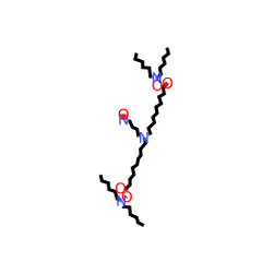 CCCCCCN(CCCCCC)OC(=O)CCCCCCCCCN(CCCCCCCCCC(=O)ON(CCCCCC)CCCCCC)CCCCN=O